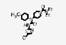 CCN(CC)C(=O)N1CCC(N(C(=O)Nc2ncc(Cl)s2)[C@H]2CC[C@H](C)CC2)CC1